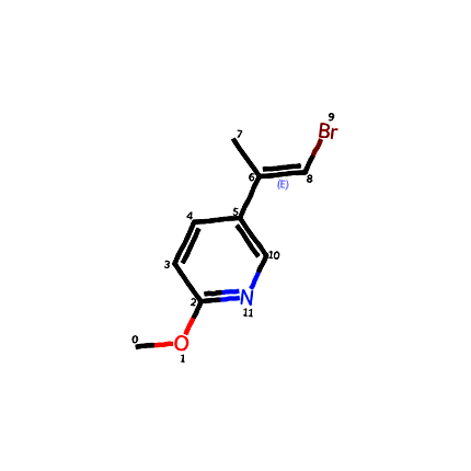 COc1ccc(/C(C)=C/Br)cn1